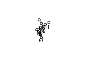 COc1ccc(Cn2nnnc2C2N3C(=O)C(NC(c4ccc(-c5ccccc5)cc4)(c4ccc(-c5ccccc5)cc4)c4ccc(-c5ccccc5)cc4)C3SC2(C)C)cc1